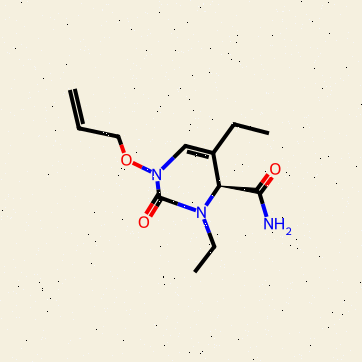 C=CCON1C=C(CC)[C@@H](C(N)=O)N(CC)C1=O